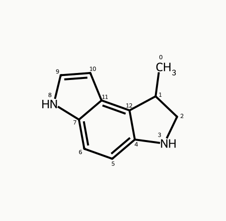 CC1CNc2ccc3[nH]ccc3c21